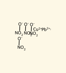 O=[N+]([O-])[O-].O=[N+]([O-])[O-].O=[N+]([O-])[O-].O=[N+]([O-])[O-].[Cu+2].[Pb+2]